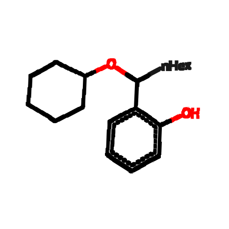 CCCCCCC(OC1CCCCC1)c1ccccc1O